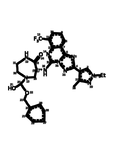 CCn1cc(-c2nc3c4cccc(C(F)(F)F)c4nc(N[C@@H]4CN(C(O)OCc5ccccc5)CCNC4=O)n3n2)c(C)n1